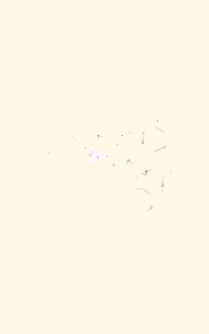 CC1CCN(C(O)C(C)(O)C(C)c2ccccc2-c2ccc(Br)cc2)CC1